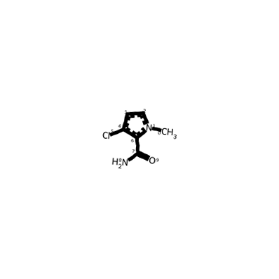 Cn1ccc(Cl)c1C(N)=O